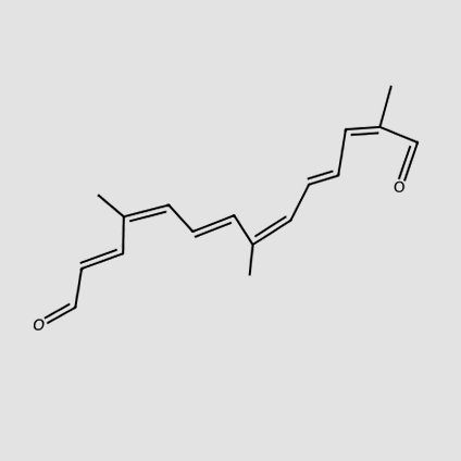 CC(C=O)=CC=CC=C(C)C=CC=C(C)C=CC=O